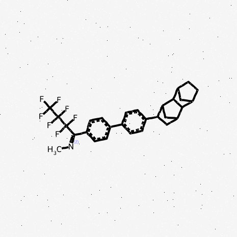 C/N=C(/c1ccc(-c2ccc(C3CC4CC3C3C5CCC(C5)C43)cc2)cc1)C(F)(F)C(F)(F)C(F)(F)F